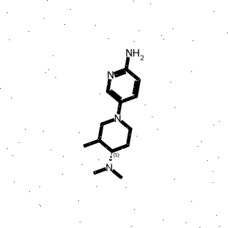 CC1CN(c2ccc(N)nc2)CC[C@@H]1N(C)C